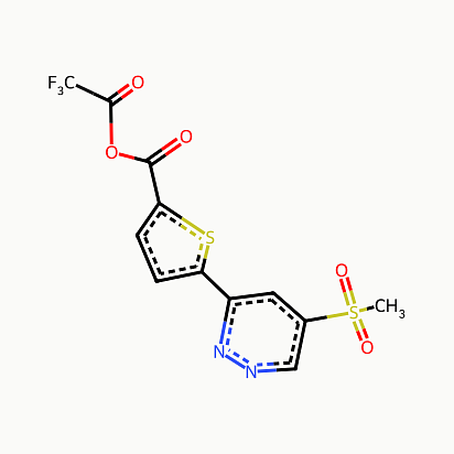 CS(=O)(=O)c1cnnc(-c2ccc(C(=O)OC(=O)C(F)(F)F)s2)c1